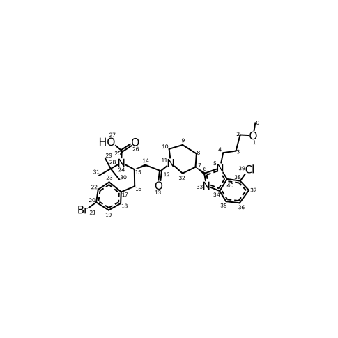 COCCCn1c([C@@H]2CCCN(C(=O)C[C@@H](Cc3ccc(Br)cc3)N(C(=O)O)C(C)(C)C)C2)nc2cccc(Cl)c21